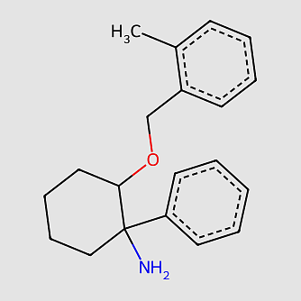 Cc1ccccc1COC1CCCCC1(N)c1ccccc1